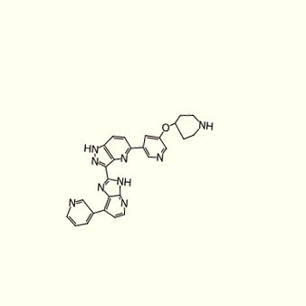 c1cncc(-c2ccnc3[nH]c(-c4n[nH]c5ccc(-c6cncc(OC7CCNCC7)c6)nc45)nc23)c1